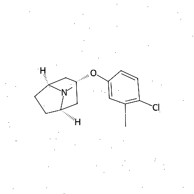 Cc1cc(O[C@@H]2C[C@H]3CC[C@@H](C2)N3C)ccc1Cl